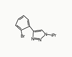 CC(C)n1cc(-c2ccccc2Br)nn1